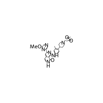 COc1cncc(-c2cc3cc[nH]c(=O)c3c(Nc3ccc(C4CCN(CCS(C)(=O)=O)CC4)c(C)c3)n2)n1